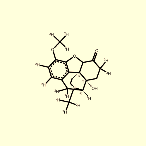 [2H]c1c([2H])c2c3c(c1OC([2H])([2H])[2H])OC1C(=O)C([2H])([2H])C[C@]4(O)[C@@]31CCN(C([2H])([2H])[2H])[C@]4([2H])C2([2H])[2H]